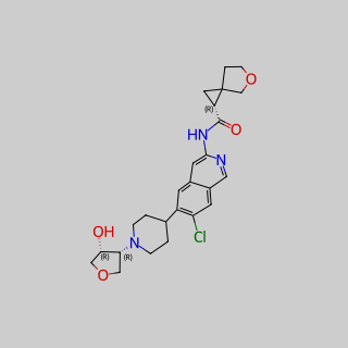 O=C(Nc1cc2cc(C3CCN([C@@H]4COC[C@@H]4O)CC3)c(Cl)cc2cn1)[C@@H]1CC12CCOC2